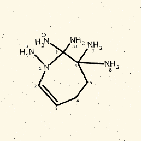 NN1C=CCCC(N)(N)C1(N)N